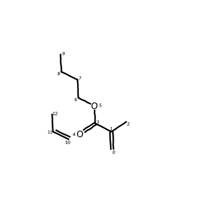 C=C(C)C(=O)OCCCC.C=CC